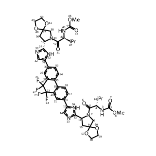 COC(=O)N[C@H](C(=O)N1CC2(CC1c1ncc(-c3ccc4c(c3)C(F)(F)C(F)(F)c3cc(-c5cnc([C@@H]6CC7(CN6C(=O)[C@@H](NC(=O)OC)C(C)C)OCCO7)[nH]5)ccc3-4)[nH]1)OCCO2)C(C)C